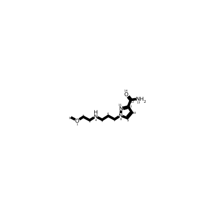 COCCNCCCn1ccc(C(N)=O)n1